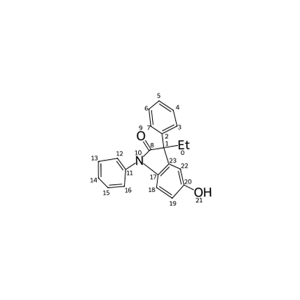 CCC1(c2ccccc2)C(=O)N(c2ccccc2)c2ccc(O)cc21